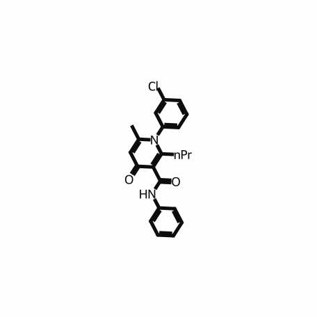 CCCc1c(C(=O)Nc2ccccc2)c(=O)cc(C)n1-c1cccc(Cl)c1